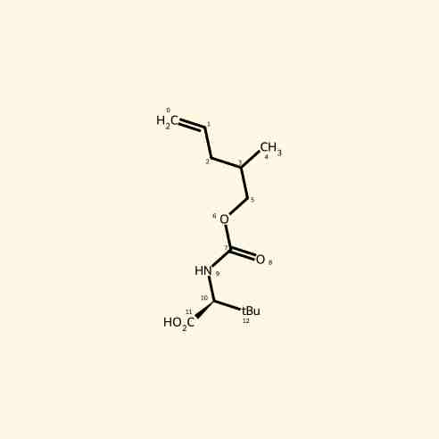 C=CCC(C)COC(=O)N[C@H](C(=O)O)C(C)(C)C